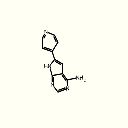 Nc1ncnc2[nH]c(-c3ccncc3)cc12